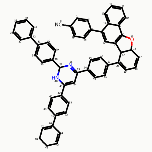 N#Cc1ccc(-c2cc3c(c4ccccc24)OC2C=CC=C(c4ccc(C5=NC(c6ccc(-c7ccccc7)cc6)NC(c6ccc(C7=CCCC=C7)cc6)=C5)cc4)C32)cc1